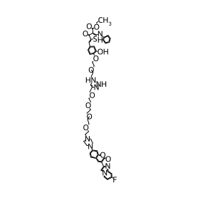 CCOC(=O)C1=C(Nc2ccccc2)S/C(=C\c2ccc(OCCOCCN/C=C(/COCCOCCOCCOCCN3CCN(c4ccc5cc(-c6cn7ccc(F)cc7n6)c(=O)oc5c4)CC3)N=N)c(O)c2)C1=O